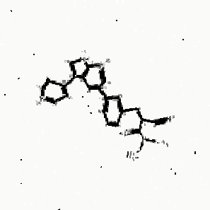 CN(C)C(=O)C(C#N)=Cc1cccc(-c2cnc3[nH]cc(-c4ccncc4)c3c2)c1